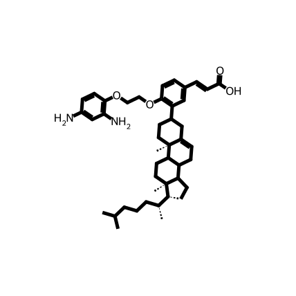 CC(C)CCC[C@@H](C)[C@H]1CCC2C3CC=C4CC(c5cc(C=CC(=O)O)ccc5OCCOc5ccc(N)cc5N)CC[C@]4(C)C3CC[C@@]21C